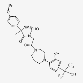 CCCc1cc(C(O)(C(F)(F)F)C(F)(F)F)ccc1N1CCCN(C(=O)CN(C=O)C(=O)C(C)(NC)c2ccc(OC(C)C)cc2)CC1